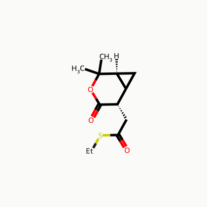 CCSC(=O)C[C@@H]1C(=O)OC(C)(C)[C@H]2CC12